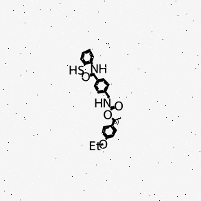 CCOc1ccc([C@H](C)OC(=O)NCc2ccc(C(=O)Nc3ccccc3S)cc2)cc1